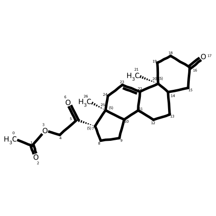 CC(=O)OCC(=O)[C@H]1CCC2C3CCC4CC(=O)CC[C@]4(C)C3=CC[C@@]21C